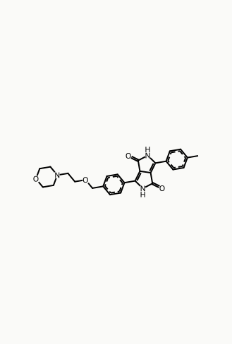 Cc1ccc(C2=C3C(=O)NC(c4ccc(COCCN5CCOCC5)cc4)=C3C(=O)N2)cc1